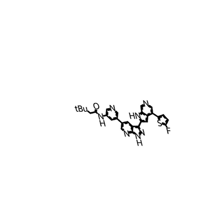 CC(C)(C)CC(=O)Nc1cncc(-c2cnc3[nH]nc(-c4cc5c(-c6ccc(F)s6)cncc5[nH]4)c3c2)c1